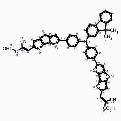 CC1(C)c2ccccc2-c2ccc(N(c3ccc(-c4cc5sc6cc(/C=C(\C#N)OC=O)sc6c5s4)cc3)c3ccc(-c4cc5sc6cc(/C=C(\C#N)C(=O)O)sc6c5s4)cc3)cc21